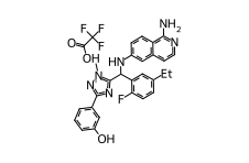 CCc1ccc(F)c(C(Nc2ccc3c(N)nccc3c2)c2nc(-c3cccc(O)c3)nn2C)c1.O=C(O)C(F)(F)F